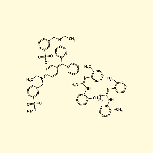 CCN(Cc1cccc(S(=O)(=O)[O-])c1)c1ccc(C(=C2C=CC(=[N+](CC)Cc3cccc(S(=O)(=O)[O-])c3)C=C2)c2ccccc2)cc1.Cc1ccccc1N=C(N)Nc1ccccc1C.Cc1ccccc1N=C(N)Nc1ccccc1C.[Na+]